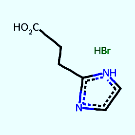 Br.O=C(O)CCc1ncc[nH]1